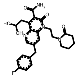 NC(=O)c1c(CC(O)O)c2ncc(Cc3ccc(F)cc3)cc2n(CCN2CCCCC2=O)c1=O